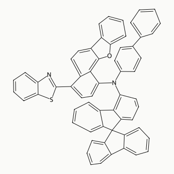 c1ccc(-c2ccc(N(c3cccc4c3-c3ccccc3C43c4ccccc4-c4ccccc43)c3ccc(-c4nc5ccccc5s4)c4ccc5c6ccccc6oc5c34)cc2)cc1